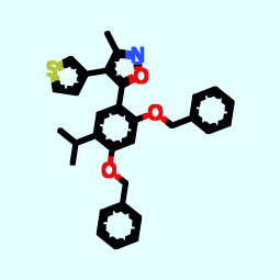 Cc1noc(-c2cc(C(C)C)c(OCc3ccccc3)cc2OCc2ccccc2)c1-c1ccsc1